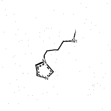 INCCCn1ccnc1